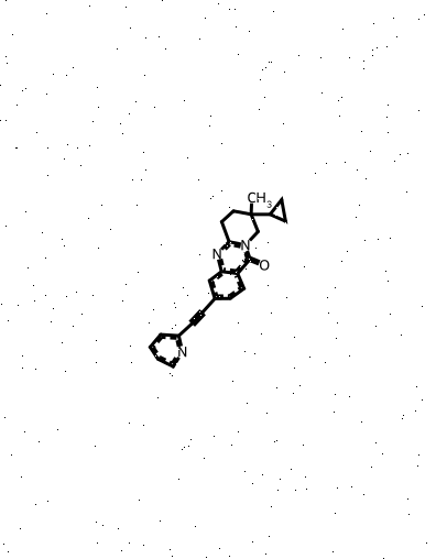 CC1(C2CC2)CCc2nc3cc(C#Cc4ccccn4)ccc3c(=O)n2C1